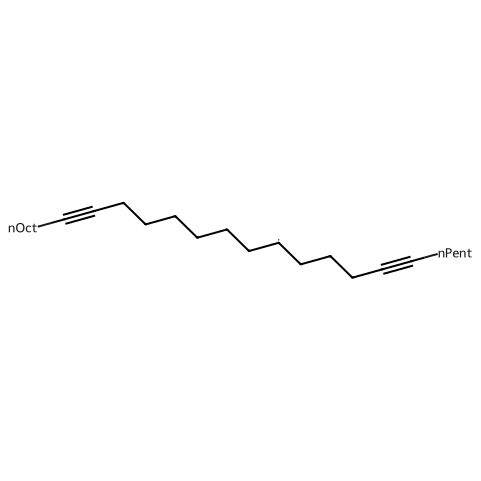 CCCCCC#CCCC[CH]CCCCCCC#CCCCCCCCC